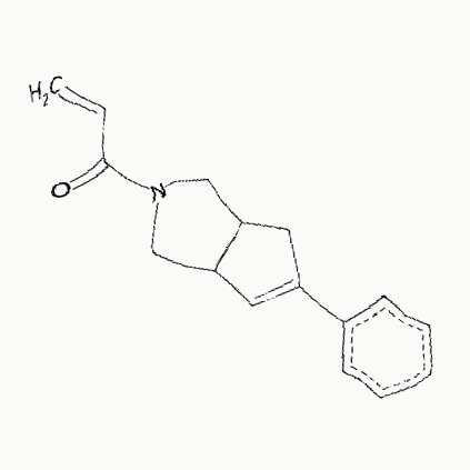 C=CC(=O)N1CC2C=C(c3ccccc3)CC2C1